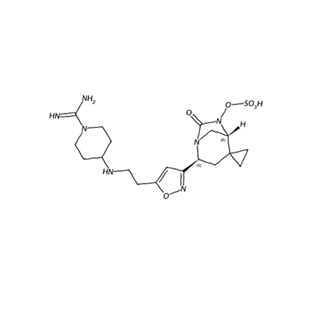 N=C(N)N1CCC(NCCc2cc([C@@H]3CC4(CC4)[C@@H]4CN3C(=O)N4OS(=O)(=O)O)no2)CC1